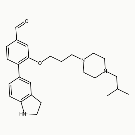 CC(C)CN1CCN(CCCOc2cc(C=O)ccc2-c2ccc3c(c2)CCN3)CC1